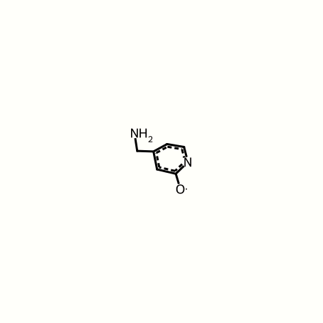 NCc1ccnc([O])c1